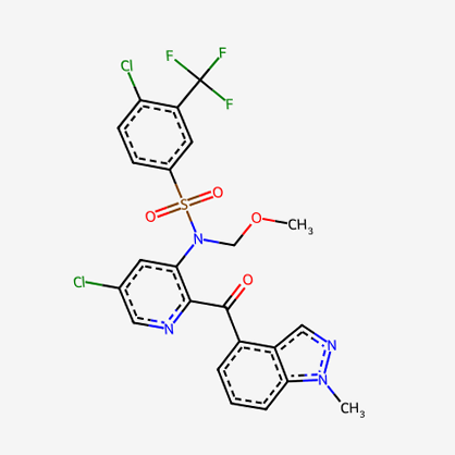 COCN(c1cc(Cl)cnc1C(=O)c1cccc2c1cnn2C)S(=O)(=O)c1ccc(Cl)c(C(F)(F)F)c1